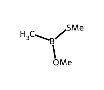 COB(C)SC